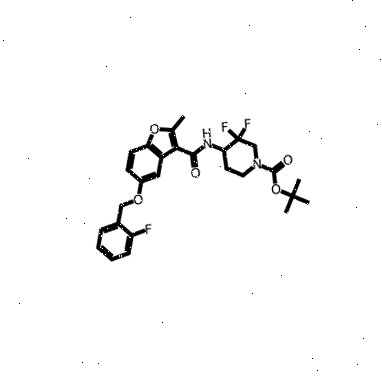 Cc1oc2ccc(OCc3ccccc3F)cc2c1C(=O)NC1CCN(C(=O)OC(C)(C)C)CC1(F)F